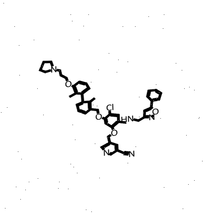 Cc1c(COc2cc(OCc3cncc(C#N)c3)c(CNCc3cc(-c4ccccc4)on3)cc2Cl)cccc1-c1cccc(OCCCN2CCCC2)c1C